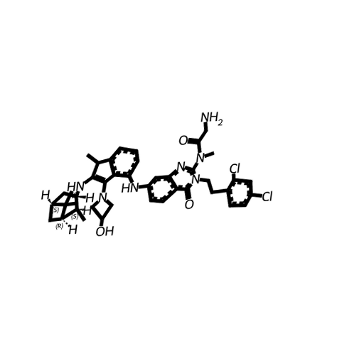 CC1C(N[C@H]2C[C@@H]3C[C@H]([C@@H]2C)C3(C)C)=C(N2CC(O)C2)c2c(Nc3ccc4c(=O)n(CCc5ccc(Cl)cc5Cl)c(N(C)C(=O)CN)nc4c3)cccc21